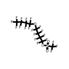 O=S(=O)(OC(F)(F)C(F)(F)C(F)(F)C(F)(F)OC(F)(F)C(F)(F)C(F)(F)C(F)(F)F)C(F)(F)F